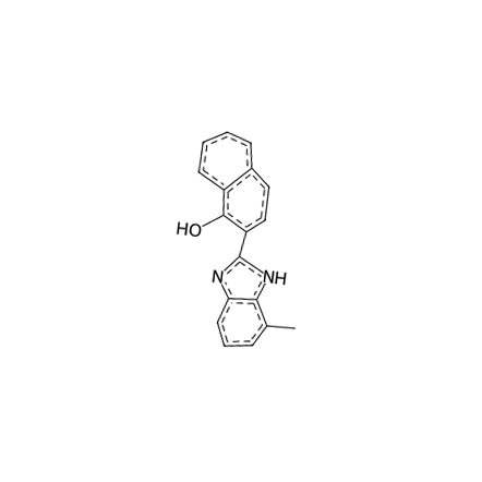 Cc1cccc2nc(-c3ccc4ccccc4c3O)[nH]c12